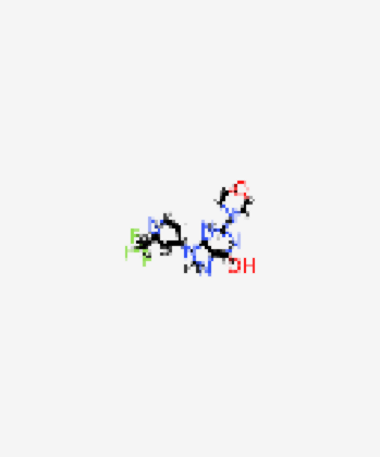 Oc1nc(N2CCOCC2)nc2c1ncn2-c1ccnc(C(F)(F)F)c1